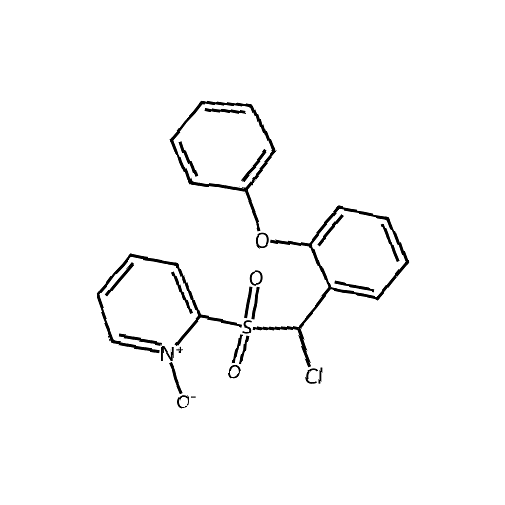 O=S(=O)(c1cccc[n+]1[O-])C(Cl)c1ccccc1Oc1ccccc1